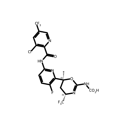 C[C@@]1(c2nc(NC(=O)c3ncc(C(F)(F)F)cc3Cl)ccc2F)C[C@@H](C(F)(F)F)N=C(NC(=O)O)O1